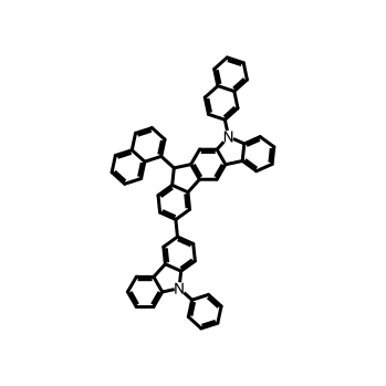 c1ccc(-n2c3ccccc3c3cc(-c4ccc5c(c4)-c4cc6c7ccccc7n(-c7ccc8ccccc8c7)c6cc4C5c4cccc5ccccc45)ccc32)cc1